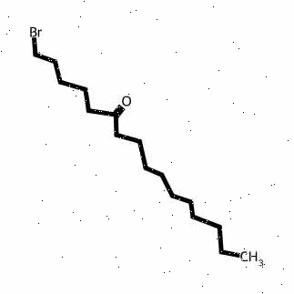 CCCCCCCCCCC(=O)CCCCCBr